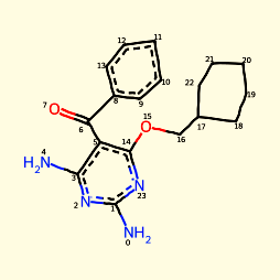 Nc1nc(N)c(C(=O)c2ccccc2)c(OCC2CCCCC2)n1